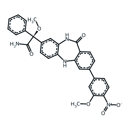 COc1cc(-c2ccc3c(c2)Nc2ccc([C@](OC)(C(N)=O)c4ccccc4)cc2NC3=O)ccc1[N+](=O)[O-]